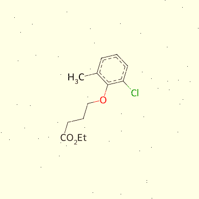 CCOC(=O)CCCOc1c(C)cccc1Cl